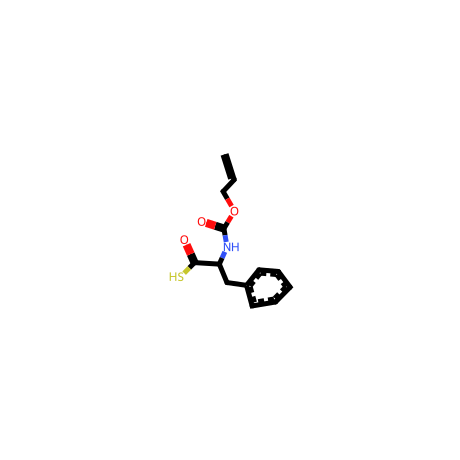 C=CCOC(=O)NC(Cc1ccccc1)C(=O)S